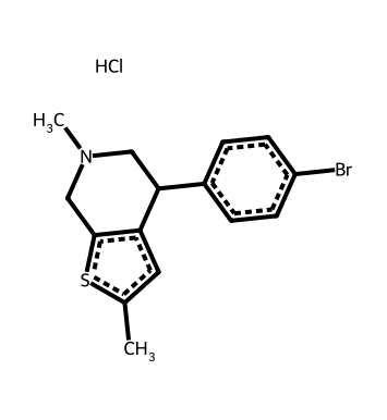 Cc1cc2c(s1)CN(C)CC2c1ccc(Br)cc1.Cl